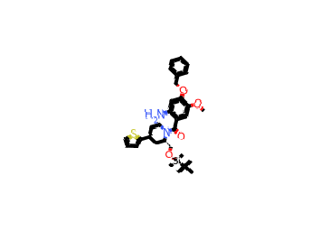 COc1cc(C(=O)N2CCC(c3cccs3)C[C@H]2CO[Si](C)(C)C(C)(C)C)c(N)cc1OCc1ccccc1